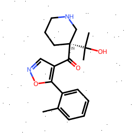 Cc1ccccc1-c1oncc1C(=O)[C@@]1(C(C)(C)O)CCCNC1